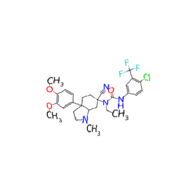 CCN(C(=O)Nc1ccc(Cl)c(C(F)(F)F)c1)C1(C#N)CCC2(c3ccc(OC)c(OC)c3)CCN(C)C2C1